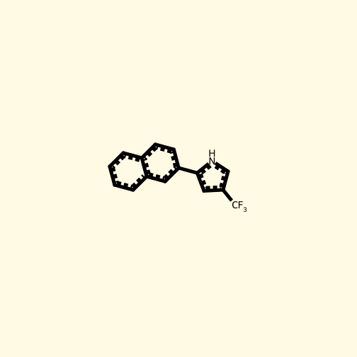 FC(F)(F)c1c[nH]c(-c2ccc3ccccc3c2)c1